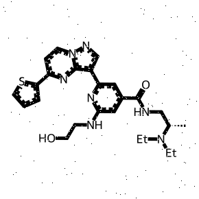 CCN(CC)[C@@H](C)CNC(=O)c1cc(NCCO)nc(-c2cnn3ccc(-c4cccs4)nc23)c1